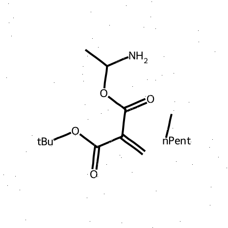 C=C(C(=O)OC(C)N)C(=O)OC(C)(C)C.CCCCCC